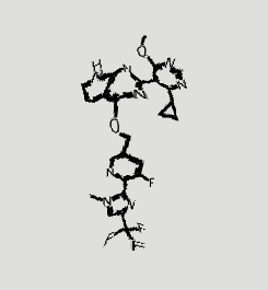 COc1ncnc(C2CC2)c1-c1nc(OCc2cnc(-c3nc(C(F)(F)F)cn3C)c(F)c2)c2cc[nH]c2n1